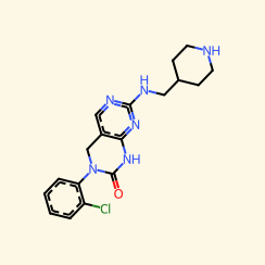 O=C1Nc2nc(NCC3CCNCC3)ncc2CN1c1ccccc1Cl